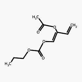 C=CC(=COC(=O)OCCC)OC(C)=O